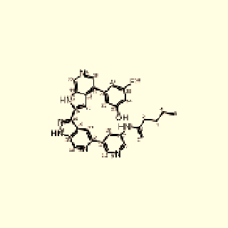 C=C(CCCC)Nc1cncc(-c2cc3c(-c4cc5c(-c6cc(O)cc(F)c6)cncc5[nH]4)n[nH]c3cn2)c1